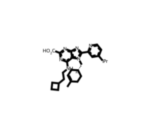 CC1=CC[C@H](Cn2c(-c3cc(C(C)C)ccn3)nc3nc(C(=O)O)nc(NCCC4CCC4)c32)CC1